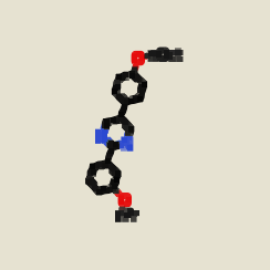 CCCCCCCCOc1ccc(-c2cnc(-c3cccc(OCCC)c3)nc2)cc1